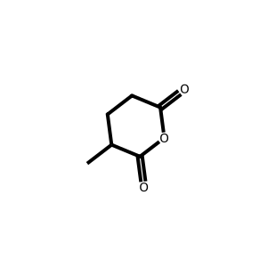 CC1CCC(=O)OC1=O